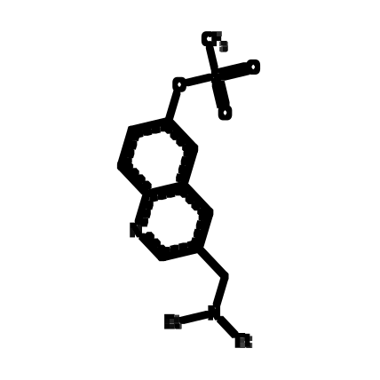 CCN(CC)Cc1cnc2ccc(OS(=O)(=O)C(F)(F)F)cc2c1